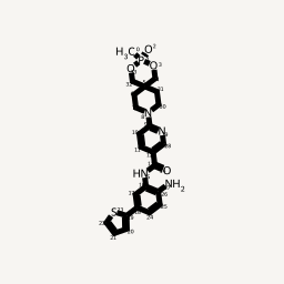 CP1(=O)OCC2(CCN(c3ccc(C(=O)Nc4cc(-c5cccs5)ccc4N)cn3)CC2)CO1